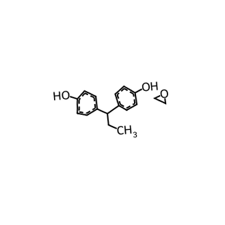 C1CO1.CCC(c1ccc(O)cc1)c1ccc(O)cc1